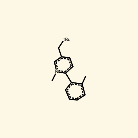 Cc1ccccc1-c1ccc(CC(C)(C)C)c[n+]1C